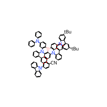 CC(C)(C)c1ccc2c(c1)c1cc(C(C)(C)C)ccc1n2-c1ccc2c(c1)N(c1ccccc1-c1ccccc1)c1cc(-c3cc(-n4c5ccccc5c5ccccc54)ccc3C#N)cc3c1B2c1ccc(N(c2ccccc2)c2ccccc2)cc1N3c1ccccc1-c1ccccc1